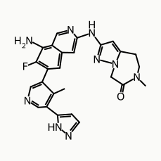 Cc1c(-c2ccn[nH]2)cncc1-c1cc2cc(Nc3cc4n(n3)CC(=O)N(C)CC4)ncc2c(N)c1F